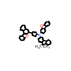 CC1(C)c2ccccc2-c2cc(N(c3ccc(-c4cc5ccccc5c5c4oc4ccccc45)cc3)c3ccc4c(c3)oc3ccccc34)ccc21